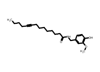 CCCCC#CCCCCCCCC(=O)NCc1ccc(O)c(OC)c1